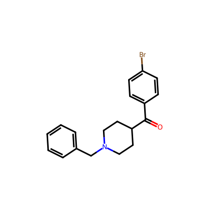 O=C(c1ccc(Br)cc1)C1CCN(Cc2ccccc2)CC1